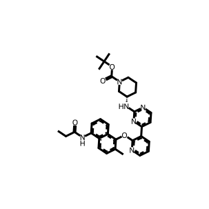 CCC(=O)Nc1cccc2c(Oc3ncccc3-c3ccnc(N[C@H]4CCCN(C(=O)OC(C)(C)C)C4)n3)c(C)ccc12